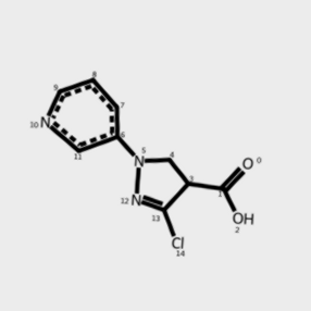 O=C(O)C1CN(c2cccnc2)N=C1Cl